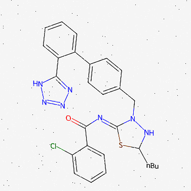 CCCCC1NN(Cc2ccc(-c3ccccc3-c3nnn[nH]3)cc2)C(=NC(=O)c2ccccc2Cl)S1